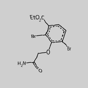 CCOC(=O)c1ccc(Br)c(OCC(N)=O)c1Br